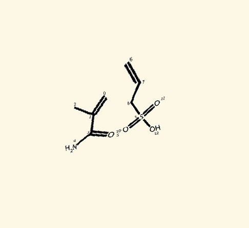 C=C(C)C(N)=O.C=CCS(=O)(=O)O